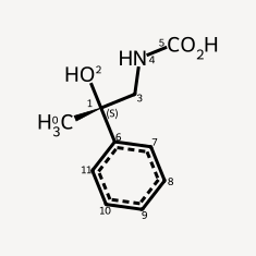 C[C@@](O)(CNC(=O)O)c1ccccc1